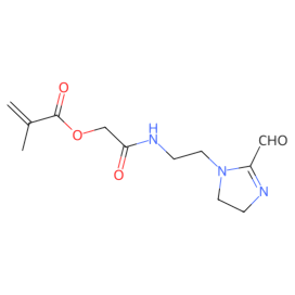 C=C(C)C(=O)OCC(=O)NCCN1CCN=C1C=O